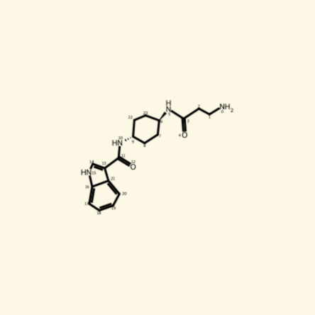 NCCC(=O)N[C@H]1CC[C@H](NC(=O)c2c[nH]c3ccccc23)CC1